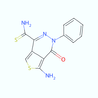 NC(=S)c1nn(-c2ccccc2)c(=O)c2c(N)scc12